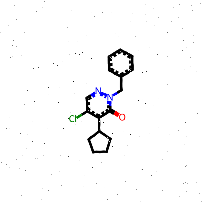 O=c1c(C2CCCC2)c(Cl)cnn1Cc1ccccc1